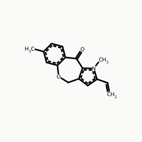 C=Cc1cc2c(n1C)C(=O)c1ccc(C)cc1OC2